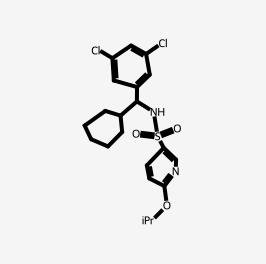 CC(C)Oc1ccc(S(=O)(=O)NC(c2cc(Cl)cc(Cl)c2)C2CCCCC2)cn1